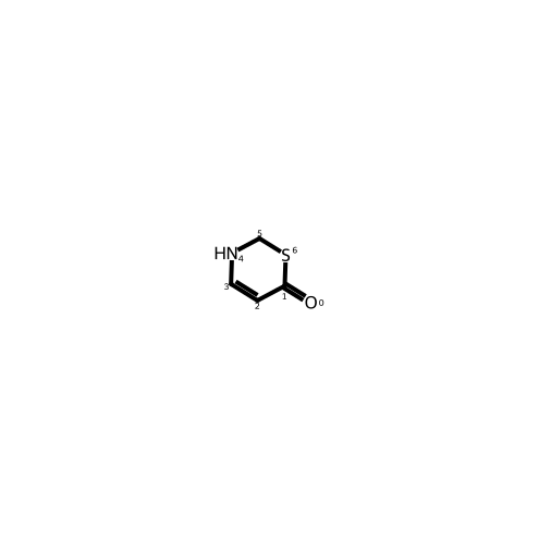 O=C1C=CNCS1